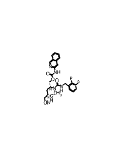 CN(C(=O)NCc1cccc(F)c1F)[C@@H](COC(=O)Nc1cc2ccccc2cn1)C[C@H](O)CO